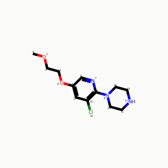 COCCOc1cnc(N2CCNCC2)c(Cl)c1